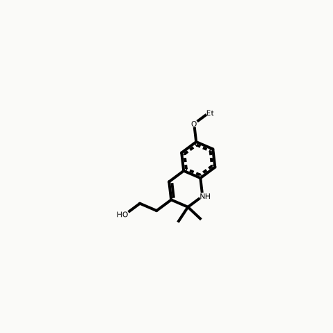 CCOc1ccc2c(c1)C=C(CCO)C(C)(C)N2